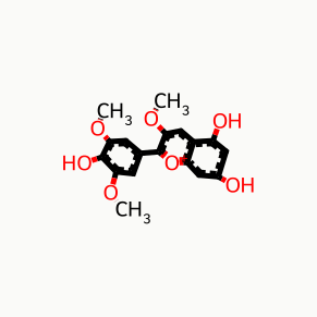 COc1cc2c(O)cc(O)cc2[o+]c1-c1cc(OC)c(O)c(OC)c1